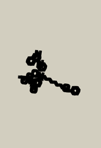 CCOC(=O)Cn1cc(N(CCCCCCCCOCc2ccccc2)C(=O)[C@H]2CCCN(c3cncc4ccccc34)C2)ccc1=O